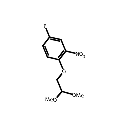 COC(COc1ccc(F)cc1[N+](=O)[O-])OC